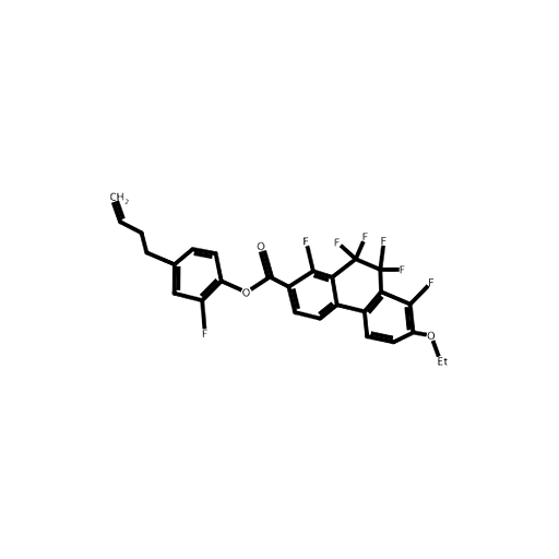 C=CCCc1ccc(OC(=O)c2ccc3c(c2F)C(F)(F)C(F)(F)c2c-3ccc(OCC)c2F)c(F)c1